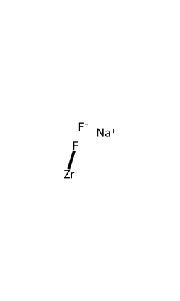 [F-].[F][Zr].[Na+]